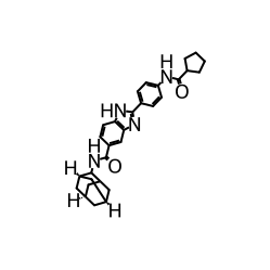 O=C(NC1C2C[C@H]3C[C@@H](C2)C[C@@H]1C3)c1ccc2[nH]c(-c3ccc(NC(=O)C4CCCC4)cc3)nc2c1